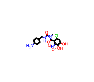 CN(C(=O)NCc1ccc(N)cc1)C(=O)c1c(Cl)cc(O)c(O)c1[N+](=O)[O-]